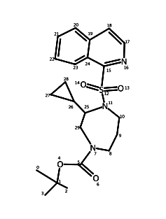 CC(C)(C)OC(=O)N1CCCN(S(=O)(=O)c2nccc3ccccc23)C(C2CC2)C1